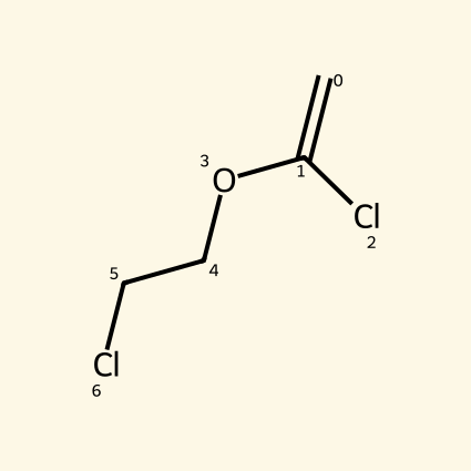 C=C(Cl)OCCCl